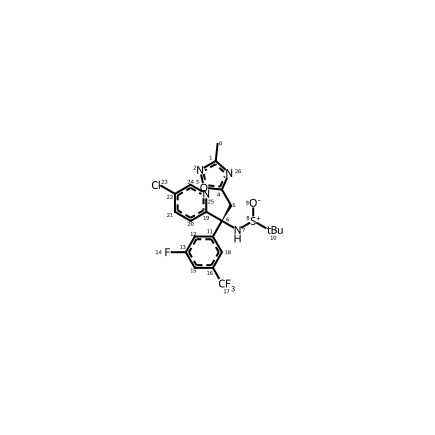 Cc1noc(C[C@@](N[S+]([O-])C(C)(C)C)(c2cc(F)cc(C(F)(F)F)c2)c2ccc(Cl)cn2)n1